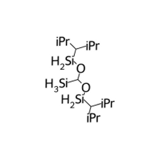 CC(C)C([SiH2]OC([SiH3])O[SiH2]C(C(C)C)C(C)C)C(C)C